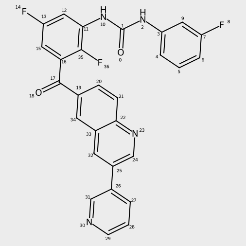 O=C(Nc1cccc(F)c1)Nc1cc(F)cc(C(=O)c2ccc3ncc(-c4cccnc4)cc3c2)c1F